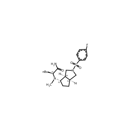 CCCC[C@@H](C(N)=O)N(C)[C@H]1CC[C@@H]2CN(S(=O)(=O)c3ccc(F)cc3)C[C@@H]21